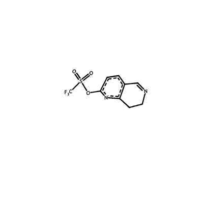 O=S(=O)(Oc1ccc2c(n1)CCN=C2)C(F)(F)F